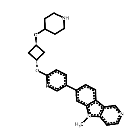 Cn1c2ccncc2c2ccc(-c3ccc(O[C@H]4C[C@H](OC5CCNCC5)C4)nc3)cc21